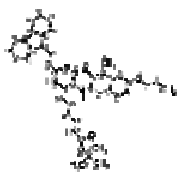 C=CCOc1ccc(C[C@H](NC(=O)[C@H](CCCCNC(=O)OC(C)(C)C)NC(=O)OCC2c3ccccc3-c3ccccc32)C(=O)OC)cc1